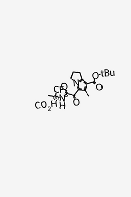 Cc1c(C(=O)OC(C)(C)C)c2n(c1C(=O)C(=O)N[C@](C)(C(=O)O)C(F)(F)F)CCC2